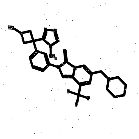 Cn1cnnc1C1(c2cccc(-n3cc4c(C(F)(F)F)cc(CN5CCCCC5)cn4c3=O)c2)CC(O)C1